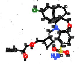 COC(=O)COC[C@@H]1CC[C@H]1CN1C[C@@]2(CCCc3cc(Cl)ccc32)COc2ccc(S(N)(=O)=O)cc21